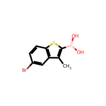 Cc1c(B(O)O)sc2ccc(Br)cc12